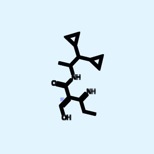 CCC(=N)/C(=C\O)C(=O)NC(C)C(C1CC1)C1CC1